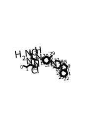 CCc1nc(C(N)=O)c(Nc2ccc(N3CCC4(C=Cc5ccccc54)CC3)c(C)c2)nc1Cl